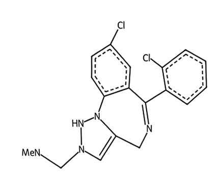 CNCN1C=C2CN=C(c3ccccc3Cl)c3cc(Cl)ccc3N2N1